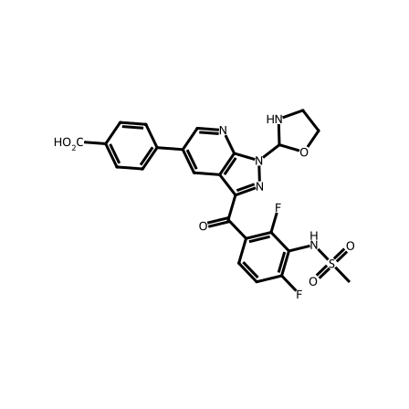 CS(=O)(=O)Nc1c(F)ccc(C(=O)c2nn(C3NCCO3)c3ncc(-c4ccc(C(=O)O)cc4)cc23)c1F